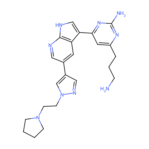 NCCCc1cc(-c2c[nH]c3ncc(-c4cnn(CCN5CCCC5)c4)cc23)nc(N)n1